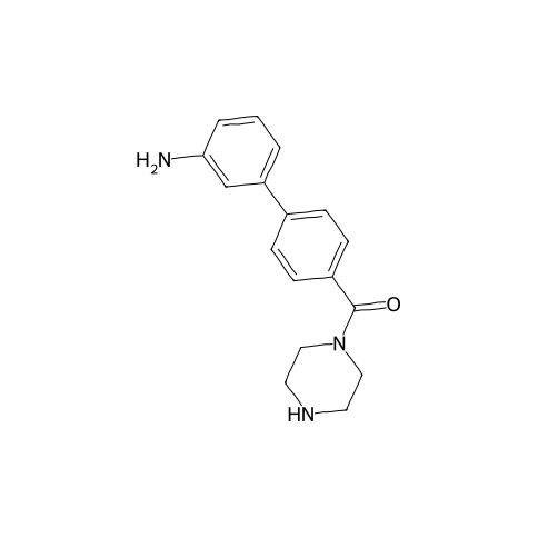 Nc1cccc(-c2ccc(C(=O)N3CCNCC3)cc2)c1